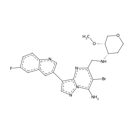 CO[C@@H]1COCC[C@@H]1NCc1nc2c(-c3cnc4ccc(F)cc4c3)cnn2c(N)c1Br